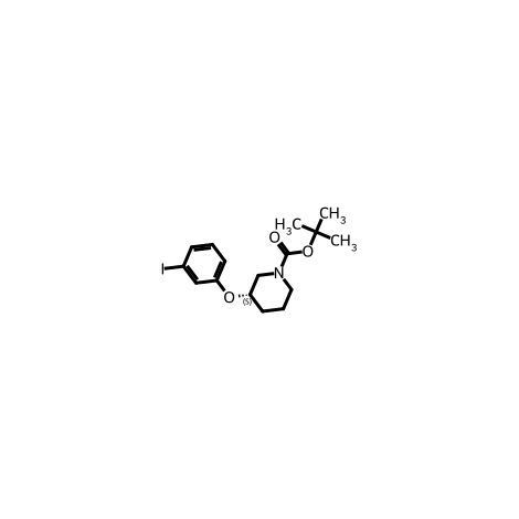 CC(C)(C)OC(=O)N1CCC[C@H](Oc2cccc(I)c2)C1